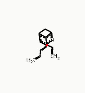 C=C/C=C(\C=C)c1c2ccnc1C2